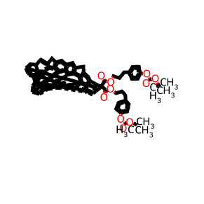 CC(C)(C)OC(=O)Oc1ccc(CCCOC(=O)C2(C(=O)OCCCc3ccc(OC(=O)OC(C)(C)C)cc3)C3c4cc5c6c7c(cc8cc9c%10c%11c%12c%13c%14c%15c%16c(c%17c4c6c(c%17%14)c4c7c8c%10c%134)C32CC%16=CC(C=C%11C9)C%15%12)C5)cc1